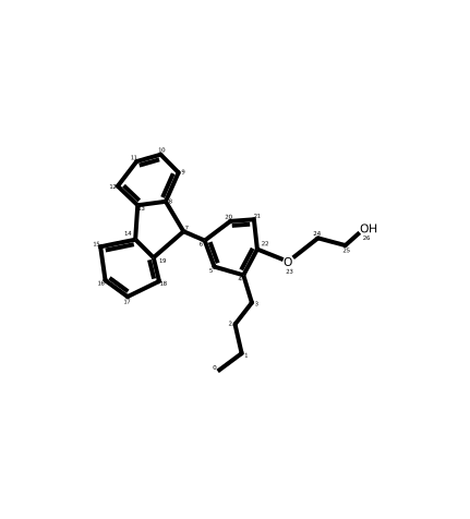 CCCCc1cc(C2c3ccccc3-c3ccccc32)ccc1OCCO